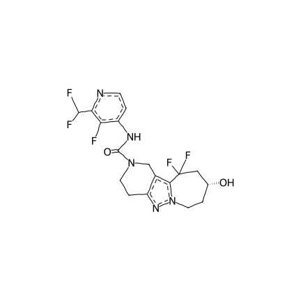 O=C(Nc1ccnc(C(F)F)c1F)N1CCc2nn3c(c2C1)C(F)(F)C[C@H](O)CC3